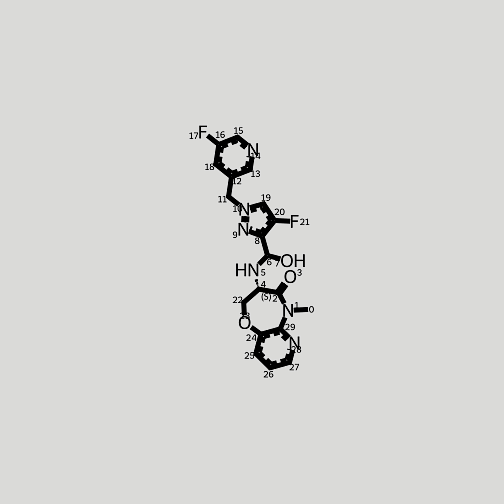 CN1C(=O)[C@@H](NC(O)c2nn(Cc3cncc(F)c3)cc2F)COc2cccnc21